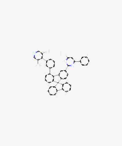 Cc1cc(-c2ccccc2)nc(-c2ccc3c(c2)-c2c(-c4cccc(-c5c(C)cncc5C)c4)cccc2C32c3ccccc3-c3ccccc32)n1